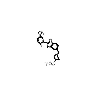 O=C(O)C1CN(Cc2ccc3oc(-c4cc(C(F)(F)F)ccc4F)nc3c2)C1